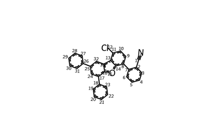 N#Cc1ccccc1-c1ccc(Cl)c2c1oc1c(-c3ccccc3)cc(-c3ccccc3)cc12